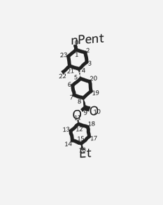 CCCCCC1CCC([C@H]2CC[C@H](C(=O)O[C@H]3CC[C@H](CC)CC3)CC2)C(C)C1